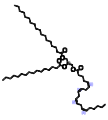 CCCCC/C=C\C/C=C\C/C=C\C/C=C\CCCC(=O)OC[C@H](COC(=O)CCCCCCCCCCCCCCCCC)OC(=O)CCCCCCCCCCCCCCC